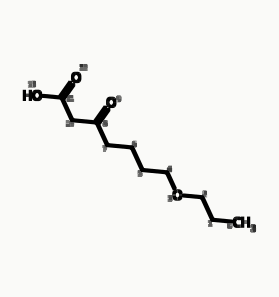 CCCOCCCCC(=O)CC(=O)O